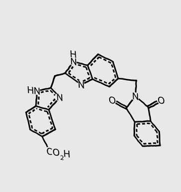 O=C(O)c1ccc2[nH]c(Cc3nc4cc(CN5C(=O)c6ccccc6C5=O)ccc4[nH]3)nc2c1